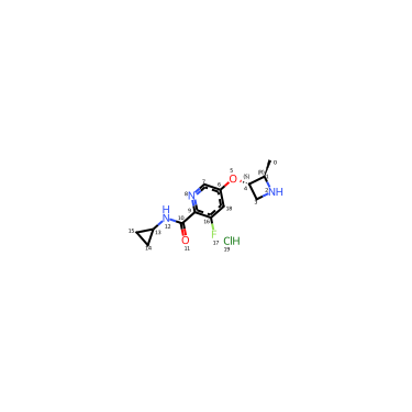 C[C@H]1NC[C@@H]1Oc1cnc(C(=O)NC2CC2)c(F)c1.Cl